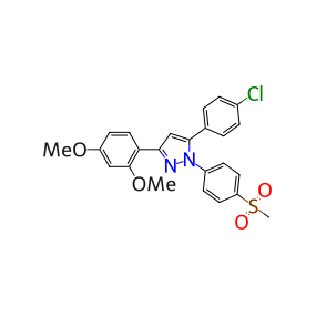 COc1ccc(-c2cc(-c3ccc(Cl)cc3)n(-c3ccc(S(C)(=O)=O)cc3)n2)c(OC)c1